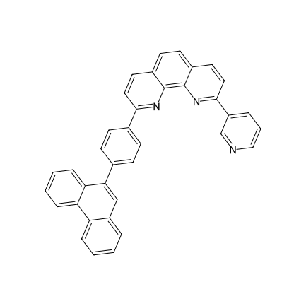 c1cncc(-c2ccc3ccc4ccc(-c5ccc(-c6cc7ccccc7c7ccccc67)cc5)nc4c3n2)c1